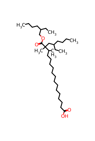 CCCCC(CC)COC(=O)C(C)(CC(CC)CCCC)C(C)CCCCCCCCCCCCCC(=O)O